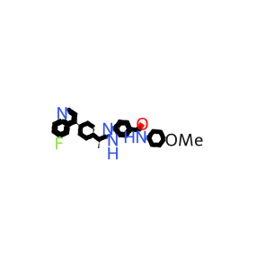 COC1CCC(NC(=O)c2ccc3nc([C@H](C)[C@H]4CC[C@@H](c5ccnc6ccc(F)cc65)CC4)[nH]c3c2)CC1